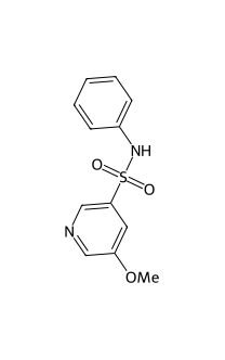 COc1cncc(S(=O)(=O)Nc2ccccc2)c1